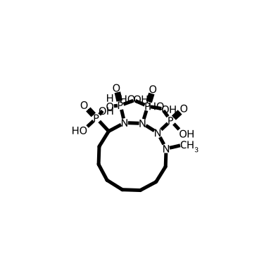 CN1CCCCCCCC(P(=O)(O)O)N(P(=O)(O)O)N(P(=O)(O)O)N1P(=O)(O)O